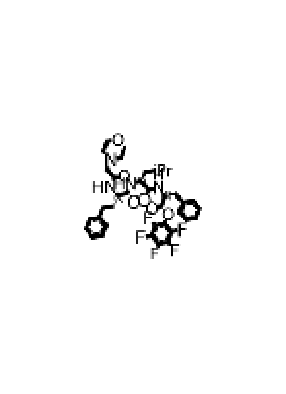 CC(C)C[C@H](NC(=O)[C@H](CCc1ccccc1)NC(=O)CN1CCOCC1)C(=O)N[C@@H](Cc1ccccc1)C(=O)Oc1c(F)c(F)c(F)c(F)c1F